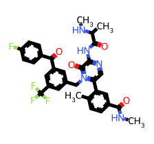 CNC(=O)c1ccc(C)c(-c2cnc(NC(=O)C(C)NC)c(=O)n2Cc2cc(C(=O)c3ccc(F)cc3)cc(C(F)(F)F)c2)c1